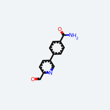 NC(=O)c1ccc(-c2ccc(C=O)nc2)cc1